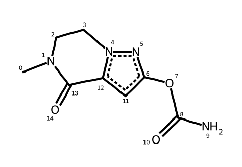 CN1CCn2nc(OC(N)=O)cc2C1=O